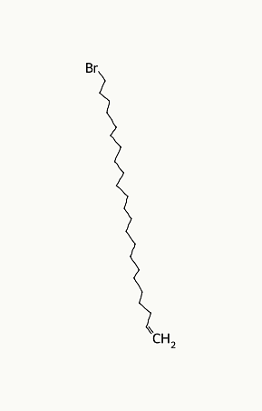 C=CCCCCCCCCCCCCCCCCCCCCCBr